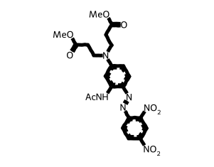 COC(=O)CCN(CCC(=O)OC)c1ccc(N=Nc2ccc([N+](=O)[O-])cc2[N+](=O)[O-])c(NC(C)=O)c1